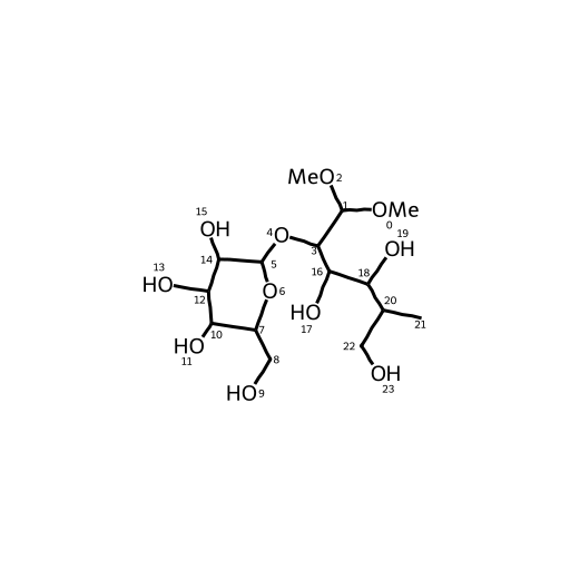 COC(OC)C(OC1OC(CO)C(O)C(O)C1O)C(O)C(O)C(C)CO